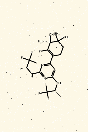 BC1(B)CCC(c2nc(N[C@H](C)C(F)(F)F)nc(N[C@H](C)C(F)(F)F)n2)=C(F)[C@@]1(B)O